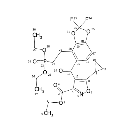 CCOC(=O)c1noc(C2CC2)c1C(=O)c1ccc2c(c1CCP(=O)(OCC)OCC)OC(F)(F)O2